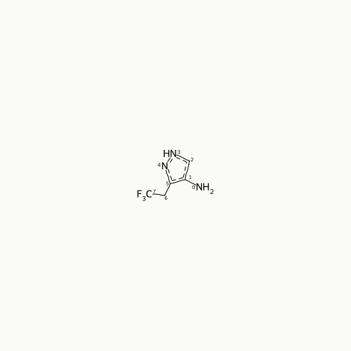 Nc1c[nH]nc1CC(F)(F)F